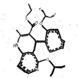 CCOC(=O)C1=C(C)Nc2ccnc(OC(C)C)c2C1c1ccccc1OC(F)F